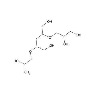 CC(O)COC(CO)CC(CO)OCC(O)CO